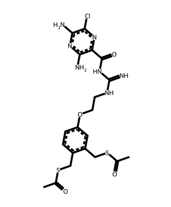 CC(=O)SCc1ccc(OCCNC(=N)NC(=O)c2nc(Cl)c(N)nc2N)cc1CSC(C)=O